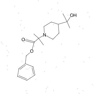 CC(C)(O)C1CCN(C(C)(C)C(=O)OCc2ccccc2)CC1